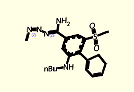 CCCCNc1cc(/C(N)=N/N=N\C)cc(S(C)(=O)=O)c1C1=CC=CCC1